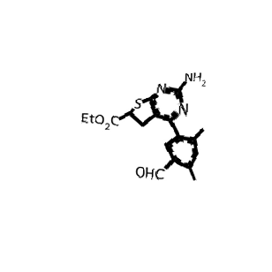 CCOC(=O)C1Cc2c(nc(N)nc2-c2cc(C=O)c(C)cc2C)S1